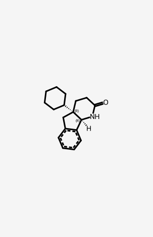 O=C1CC[C@]2(C3CCCCC3)Cc3ccccc3[C@@H]2N1